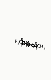 C/C(F)=C(\F)c1ccc(-c2cnc(-c3cc(F)c(C(F)(F)F)c(F)c3)nc2)cc1